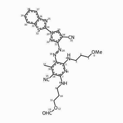 COCCCNc1nc(NCCCOC=O)c(C#N)c(C)c1N=Nc1nn(-c2nc3ccccc3s2)cc1C#N